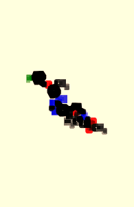 Cc1cc(Nc2ncnc3ccc(-c4ccc(CN(CCS(C)(=O)=O)C(C)(C)C)o4)cc23)ccc1OCc1cccc(F)c1